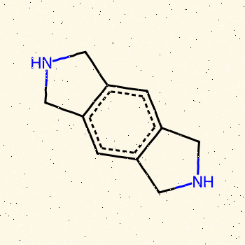 c1c2c(cc3c1CNC3)CNC2